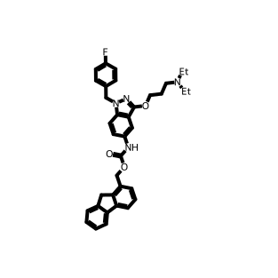 CCN(CC)CCCOc1nn(Cc2ccc(F)cc2)c2ccc(NC(=O)OCc3cccc4c3Cc3ccccc3-4)cc12